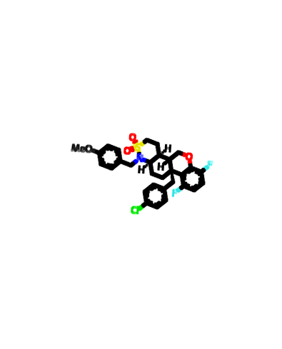 COc1ccc(CN2[C@@H]3CC[C@@]4(Cc5ccc(Cl)cc5)c5c(F)ccc(F)c5OC[C@H]4[C@@H]3CCS2(=O)=O)cc1